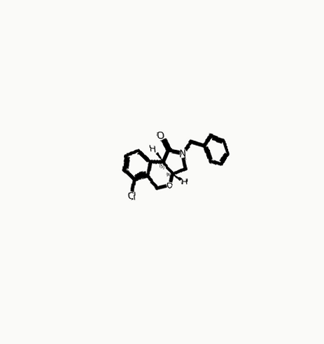 O=C1[C@H]2c3cccc(Cl)c3CO[C@H]2CN1Cc1ccccc1